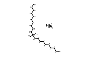 Br.CCCCCCCCCCC(C)(C)CCCCCCCCCC.N